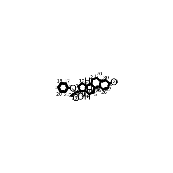 C[C@H]1C[C@@H]2C(=CC[C@@]3(C)[C@H]2CC[C@]3(O)C2(Oc3ccccc3)CO2)[C@@]2(C)C=CC(=O)C=C12